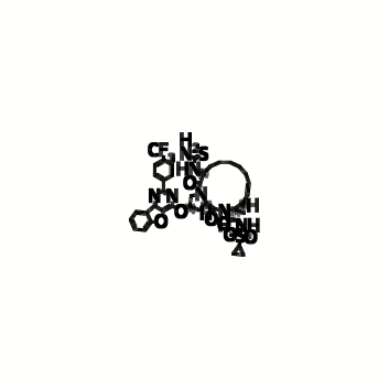 NC(=S)N[C@H]1CCCCCC=C[C@@H]2C[C@@]2(C(=O)NS(=O)(=O)C2CC2)NC(=O)[C@@H]2C[C@@H](Oc3nc(-c4ccc(C(F)(F)F)cc4)nc4c3oc3ccccc34)CN2C1=O